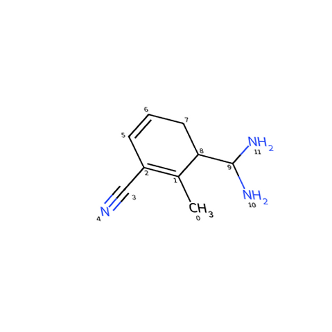 CC1=C(C#N)C=CCC1C(N)N